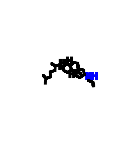 C=CCN[C@H]1CC[C@@]2(C)C(=CC[C@H]3[C@@H]4CC[C@H]([C@H](C)CCCC(C)C)[C@@]4(C)CC[C@@H]32)C1